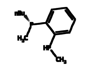 CCCC[P@@](C)c1ccccc1PC